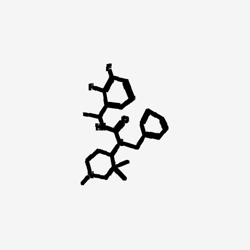 CC(NC(=O)N(Cc1ccccc1)C1CCN(C)CC1(C)C)c1cccc(F)c1F